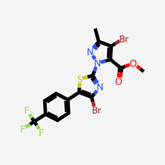 COC(=O)c1c(Br)c(C)nn1-c1nc(Br)c(-c2ccc(C(F)(F)F)cc2)s1